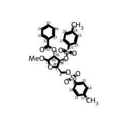 COC1O[C@H](COS(=O)(=O)c2ccc(C)cc2)[C@H](OS(=O)(=O)c2ccc(C)cc2)[C@H]1OC(=O)c1ccccc1